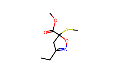 CCC1=NOC(SC)(C(=O)OC)C1